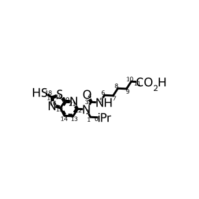 CC(C)CN(C(=O)NCCCCCC(=O)O)c1ccc2nc(S)sc2n1